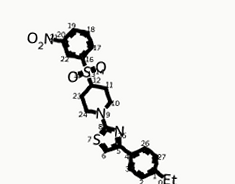 CCc1ccc(-c2csc(N3CCC(S(=O)(=O)c4cccc([N+](=O)[O-])c4)CC3)n2)cc1